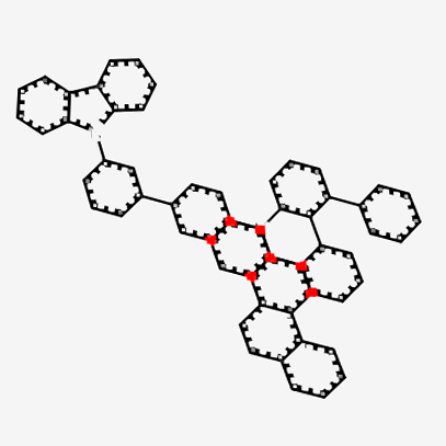 c1ccc(-c2ccccc2-c2c(-c3ccccc3)cccc2N(c2ccc(-c3cccc(-n4c5ccccc5c5ccccc54)c3)cc2)c2ccc3c(ccc4ccccc43)c2)cc1